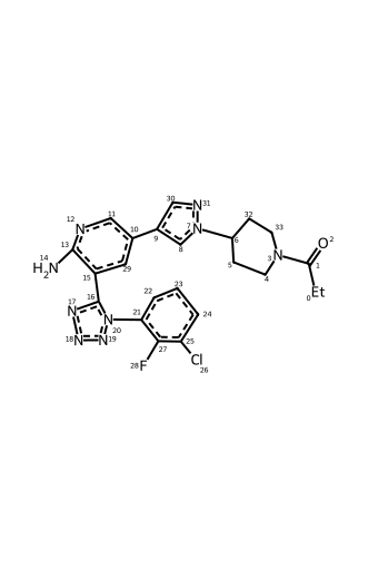 CCC(=O)N1CCC(n2cc(-c3cnc(N)c(-c4nnnn4-c4cccc(Cl)c4F)c3)cn2)CC1